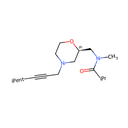 CCCC(C)C#CCN1CCO[C@@H](CN(C)C(=O)C(C)C)C1